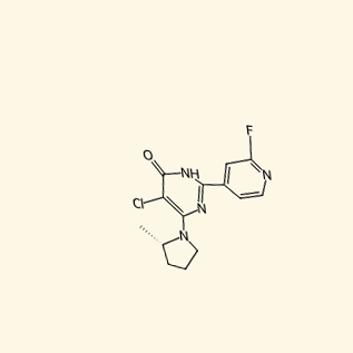 C[C@H]1CCCN1c1nc(-c2ccnc(F)c2)[nH]c(=O)c1Cl